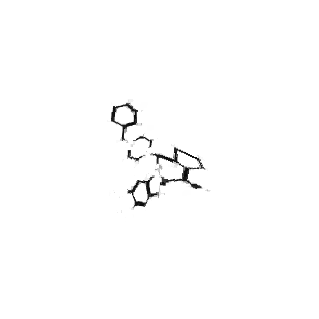 Cc1cc2nc3c(C#N)c4c(c(N5CCN(Cc6ccccc6)CC5)n3c2cc1C)CCC4